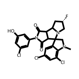 CN1CC2(c3cc(Cl)cc(Cl)c31)C1C(=O)N(c3cc(O)cc(Cl)c3)C(=O)C1C1C[C@H](F)CN12